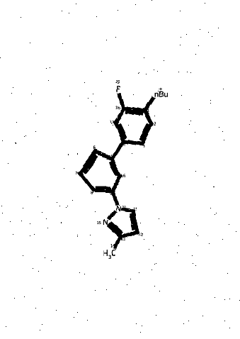 CCCCc1ccc(-c2cccc(-n3ccc(C)n3)c2)cc1F